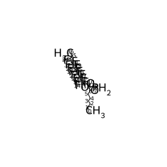 CCCCCCC(OP)C(=O)OC(F)(F)C(F)(F)C(F)(F)C(F)(F)C(F)(F)C(F)(F)C(F)(F)C(F)CC